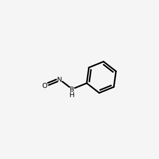 O=NBc1ccccc1